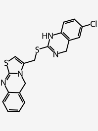 Clc1ccc2c(c1)CN=C(SCC1=CSC3=Nc4ccccc4CN13)N2